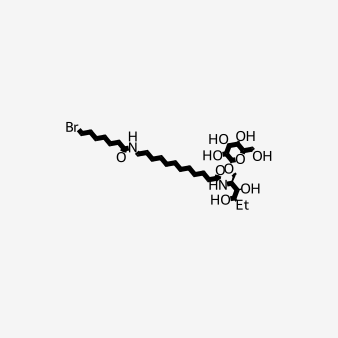 CC[C@@H](O)[C@@H](O)[C@H](CO[C@H]1OC(CO)[C@H](O)[C@H](O)C1O)NC(=O)CCCCCCCCCCCNC(=O)CCCCCCBr